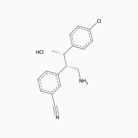 C[C@H](c1ccc(Cl)cc1)[C@H](CN)c1cccc(C#N)c1.Cl